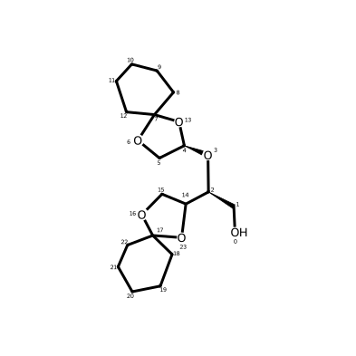 OC[C@H](O[C@H]1COC2(CCCCC2)O1)C1COC2(CCCCC2)O1